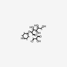 O=CC(O)C=O.O=CC(ON1CCNCC1)C(O)C(O)C(O)CO